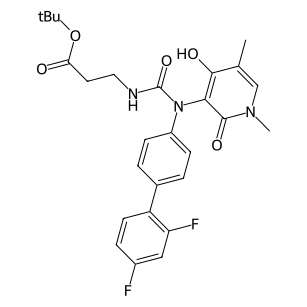 Cc1cn(C)c(=O)c(N(C(=O)NCCC(=O)OC(C)(C)C)c2ccc(-c3ccc(F)cc3F)cc2)c1O